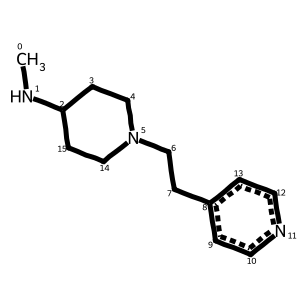 CNC1CCN(CCc2ccncc2)CC1